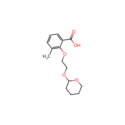 Cc1cccc(C(=O)O)c1OCCOC1CCCCO1